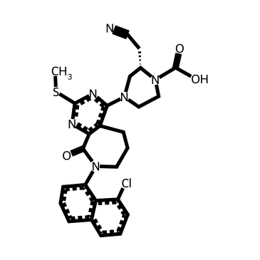 CSc1nc2c(c(N3CCN(C(=O)O)[C@@H](CC#N)C3)n1)CCCN(c1cccc3cccc(Cl)c13)C2=O